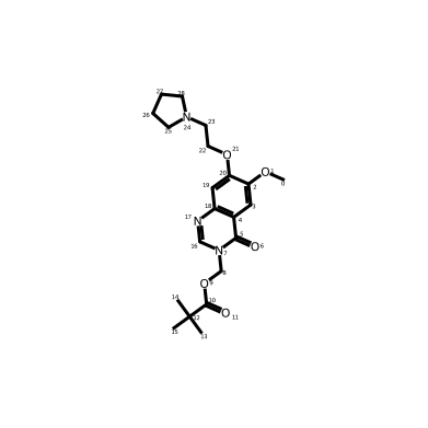 COc1cc2c(=O)n(COC(=O)C(C)(C)C)cnc2cc1OCCN1CCCC1